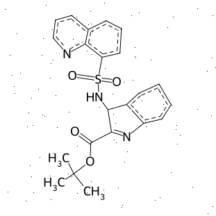 CC(C)(C)OC(=O)C1=Nc2ccccc2C1NS(=O)(=O)c1cccc2cccnc12